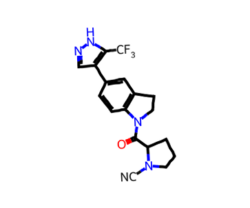 N#CN1CCCC1C(=O)N1CCc2cc(-c3cn[nH]c3C(F)(F)F)ccc21